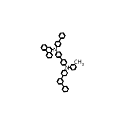 Cc1cccc(N(c2ccc(-c3ccc(N(c4ccc(-c5ccccc5)cc4)c4cc5ccccc5c5ccccc45)cc3)cc2)[C@H]2C=CC(c3cccc(-c4ccccc4)c3)=CC2)c1